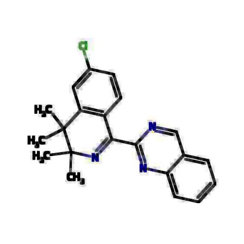 CC1(C)N=C(c2ncc3ccccc3n2)c2ccc(Cl)cc2C1(C)C